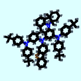 CC(C)(C)c1ccc(N(c2ccc(C(C)(C)C)cc2)c2ccc3c(c2)N(c2ccc4c(c2)sc2ccccc24)c2cc(N(c4ccc(C(C)(C)C)cc4)c4ccc(C(C)(C)C)cc4)cc4c2B3c2cccc3c2N4C2(C)CCCCC32C)cc1